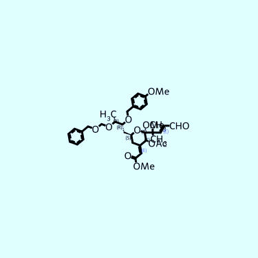 COC(=O)/C=C1\C[C@@H](C[C@@H](OCc2ccc(OC)cc2)[C@@H](C)OCOCc2ccccc2)O[C@@](OC)(C(C)(C)/C=C/C=O)[C@H]1OC(C)=O